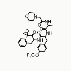 CC(NC(=O)CN1CCOCC1)C(=O)NC(Cc1ccc(OC(F)(F)F)cc1)C(=O)NC(Cc1ccccc1)C(=O)C1(C)CO1